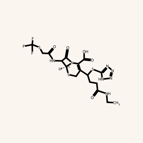 CCNC(=O)CCC(Sc1nnn[nH]1)C1=C(C(=O)O)N2C(=O)C(NC(=O)CSC(F)(F)F)[C@@H]2SC1